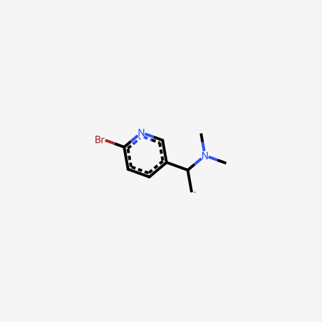 [CH2]C(c1ccc(Br)nc1)N(C)C